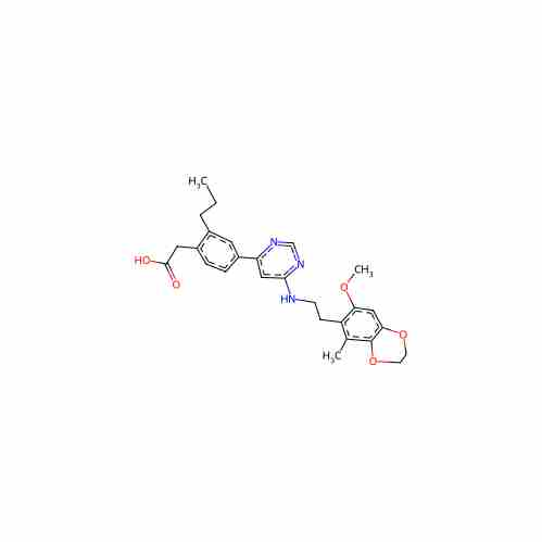 CCCc1cc(-c2cc(NCCc3c(OC)cc4c(c3C)OCCO4)ncn2)ccc1CC(=O)O